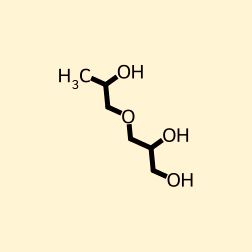 CC(O)COCC(O)CO